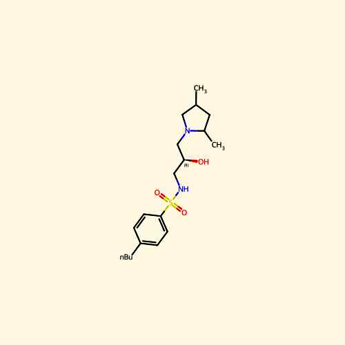 CCCCc1ccc(S(=O)(=O)NC[C@H](O)CN2CC(C)CC2C)cc1